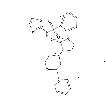 O=C1C(N2CCOC(c3ccccc3)C2)CCN1c1ccccc1S(=O)(=O)Nc1nccs1